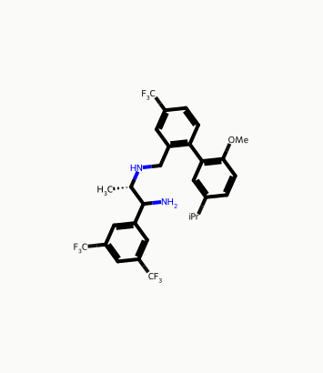 COc1ccc(C(C)C)cc1-c1ccc(C(F)(F)F)cc1CN[C@@H](C)C(N)c1cc(C(F)(F)F)cc(C(F)(F)F)c1